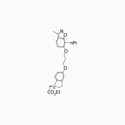 CCCc1c(OCCCOc2ccc3c(c2)CC[C@H]3CC(=O)OCC)ccc2c(C)noc12